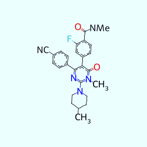 CNC(=O)c1ccc(-c2c(-c3ccc(C#N)cc3)nc(N3CCC(C)CC3)n(C)c2=O)cc1F